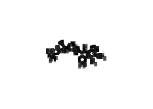 CC(C)n1nccc1C(=O)N[C@H](c1cn2ncc(C(NC(=O)C[C@@H](O)C(F)(F)F)C3CC3)cc2n1)C1CCC(F)(F)CC1